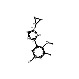 COc1c(C)cc(F)cc1-c1ncn(C2CC2)n1